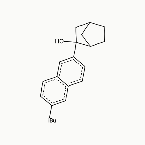 CCC(C)c1ccc2cc(C3(O)CC4CCC3C4)ccc2c1